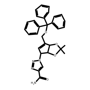 CC1(C)OC2C(COC(c3ccccc3)(c3ccccc3)c3ccccc3)=CC(n3cc(C(N)=O)nn3)C2O1